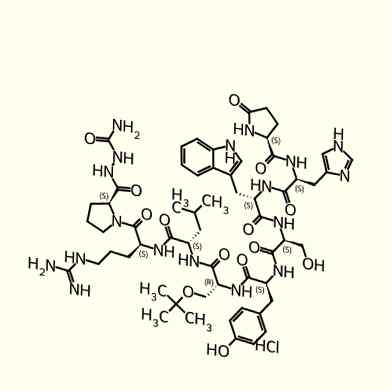 CC(C)C[C@H](NC(=O)[C@@H](COC(C)(C)C)NC(=O)[C@H](Cc1ccc(O)cc1)NC(=O)[C@H](CO)NC(=O)[C@H](Cc1c[nH]c2ccccc12)NC(=O)[C@H](Cc1c[nH]cn1)NC(=O)[C@@H]1CCC(=O)N1)C(=O)N[C@@H](CCCNC(=N)N)C(=O)N1CCC[C@H]1C(=O)NNC(N)=O.Cl